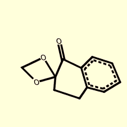 O=C1c2ccccc2CCC12OCO2